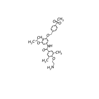 Cc1cc(C(=O)Nc2cc(OCc3ccc(S(C)(=O)=O)cc3)cc(OC(C)C)c2)cc(C)c1OCCN